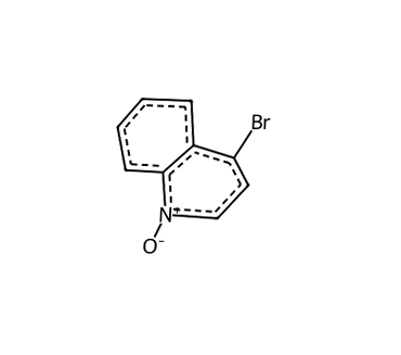 [O-][n+]1ccc(Br)c2ccccc21